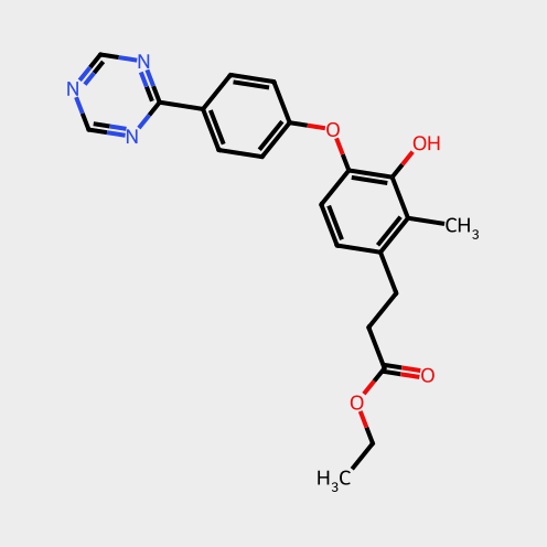 CCOC(=O)CCc1ccc(Oc2ccc(-c3ncncn3)cc2)c(O)c1C